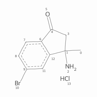 CC1(N)CC(=O)c2ccc(Br)cc21.Cl